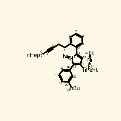 CCCCCCCC#CCCc1ccccc1C1=CC(CCCCC)=C(c2cccc(CCCC)c2)[N+]1=[N-].C[CH2][Ni][CH2]C